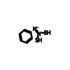 [N-]=[N+](S)S.c1ccccc1